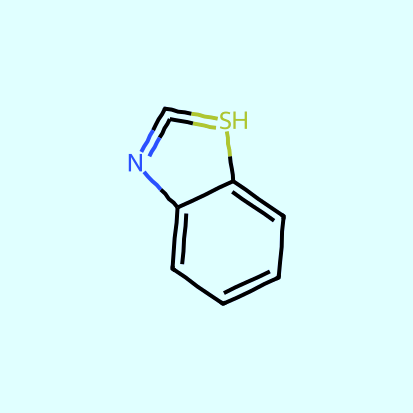 C1=Nc2ccccc2[SH]=1